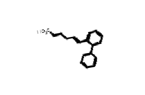 O=C(O)CCCC=Cc1ccccc1-c1ccccc1